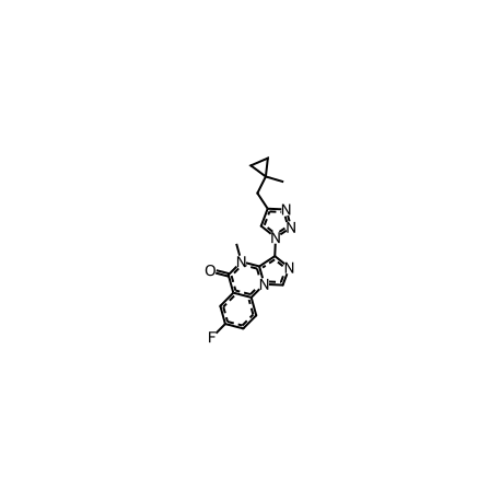 Cn1c(=O)c2cc(F)ccc2n2cnc(-n3cc(CC4(C)CC4)nn3)c12